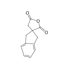 O=C1CC2(Cc3ccccc3C2)C(=O)O1